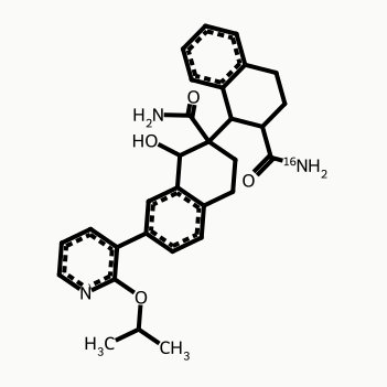 CC(C)Oc1ncccc1-c1ccc2c(c1)C(O)C(C(N)=O)(C1c3ccccc3CCC1C([16NH2])=O)CC2